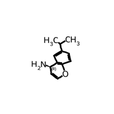 CC(C)c1ccc2c(c1)[C@H](N)C=CO2